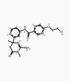 CN1C(=O)CC(C)(c2cc(NC(=O)c3cnc(OCCCl)cn3)ccn2)N=C1N